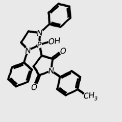 Cc1ccc(N2C(=O)CC([P]3(O)N(c4ccccc4)CCN3c3ccccc3)C2=O)cc1